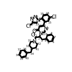 O=C(C(Cc1ccccc1)n1cnc(-c2cc(Cl)ccc2-n2cc(Cl)nn2)cc1=O)N1CCC(Cc2ccccc2)CC1